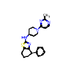 Cc1nccc(N2CCC(Nc3nc4c(s3)CCC[C@@H]4c3ccccc3)CC2)n1